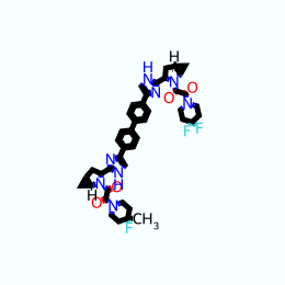 CC1(F)CCN(C(=O)C(=O)N2C(c3nc(-c4ccc(-c5ccc(-c6c[nH]c(C7C[C@@H]8CC8N7C(=O)C(=O)N7CCC(F)(F)CC7)n6)cc5)cc4)c[nH]3)CC3C[C@@H]32)CC1